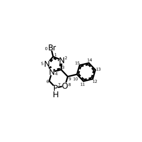 Brc1nc2n(n1)CPOC2c1ccccc1